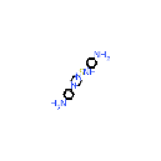 Nc1ccc(NSN2CCN(c3ccc(N)cc3)CC2)cc1